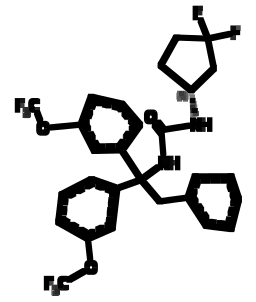 O=C(N[C@@H]1CCC(F)(F)C1)NC(Cc1ccccc1)(c1cccc(OC(F)(F)F)c1)c1cccc(OC(F)(F)F)c1